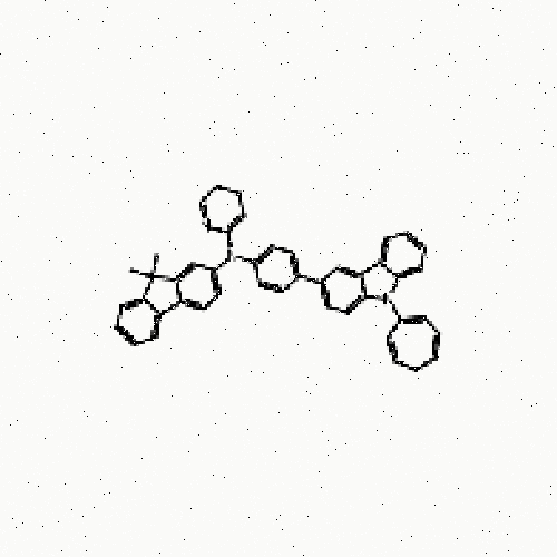 CC1(C)c2ccccc2-c2ccc(N(C3=CCCC=N3)c3ccc(-c4ccc5c(c4)c4ccccc4n5C4=CC=CCC=C4)cc3)cc21